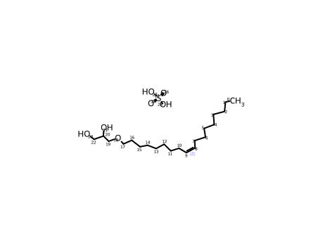 CCCCCCCC/C=C\CCCCCCCCOCC(O)CO.O=S(=O)(O)O